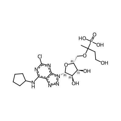 CC(CCO)(OC[C@H]1O[C@@H](n2nnc3c(NC4CCCC4)nc(Cl)nc32)[C@H](O)[C@@H]1O)P(=O)(O)O